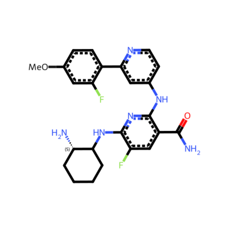 COc1ccc(-c2cc(Nc3nc(NC4CCCC[C@@H]4N)c(F)cc3C(N)=O)ccn2)c(F)c1